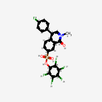 Cn1cc(-c2ccc(F)cc2)c2ccc(S(=O)(=O)Oc3c(F)c(F)c(F)c(F)c3F)cc2c1=O